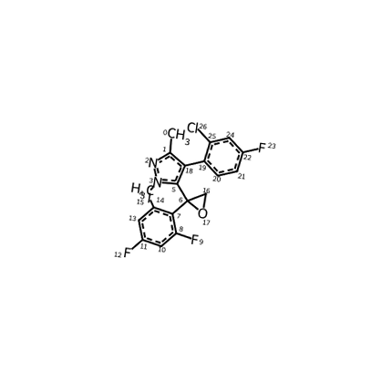 Cc1nn(C)c(C2(c3c(F)cc(F)cc3I)CO2)c1-c1ccc(F)cc1Cl